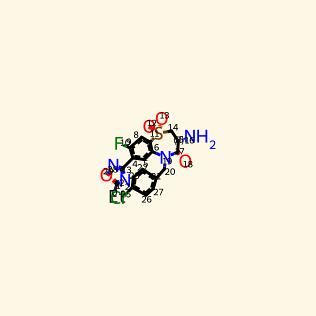 CCc1nc(-c2cc3c(cc2F)S(=O)(=O)C[C@H](N)C(=O)N3Cc2ccc(Cl)cc2)no1